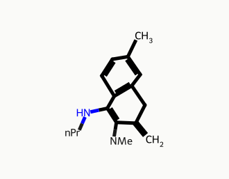 C=C1Cc2cc(C)ccc2C(NCCC)=C1NC